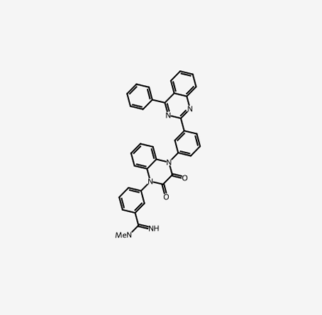 CNC(=N)c1cccc(-n2c(=O)c(=O)n(-c3cccc(-c4nc(-c5ccccc5)c5ccccc5n4)c3)c3ccccc32)c1